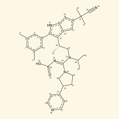 Cc1cc(C)cc(-c2[nH]c3sc(C(C)(C)C#N)cc3c2[C@@H](C)CN(C(=NC(=O)O)N2CCC(c3ccncc3)C2)C(C)C)c1